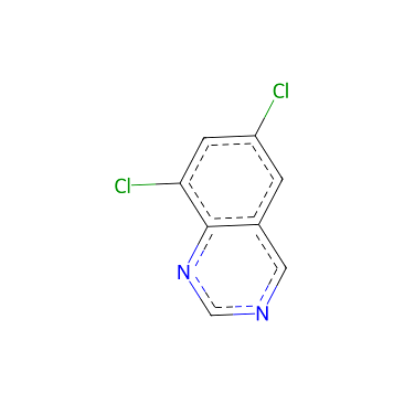 Clc1cc(Cl)c2ncncc2c1